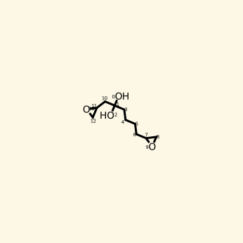 OC(O)(CCCCC1CO1)CC1CO1